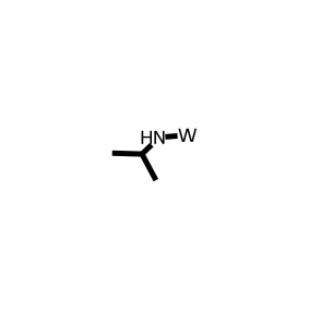 CC(C)[NH][W]